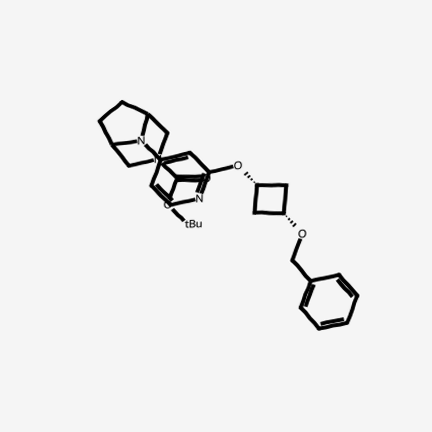 CC(C)(C)OC(=O)N1CC2CCC(C1)N2c1ccnc(O[C@H]2C[C@@H](OCc3ccccc3)C2)c1